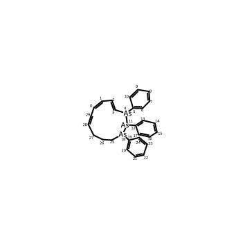 C1=C\C=C\[As](c2ccccc2)[As](c2ccccc2)[As](c2ccccc2)CCC/C=C/1